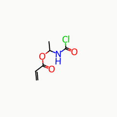 C=CC(=O)OC(C)NC(=O)Cl